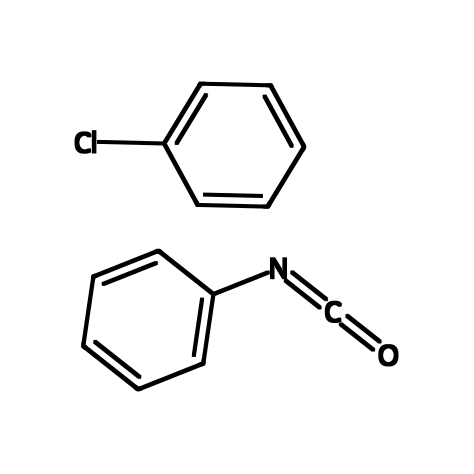 Clc1ccccc1.O=C=Nc1ccccc1